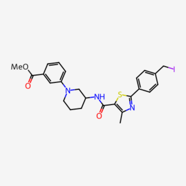 COC(=O)c1cccc(N2CCCC(NC(=O)c3sc(-c4ccc(CI)cc4)nc3C)C2)c1